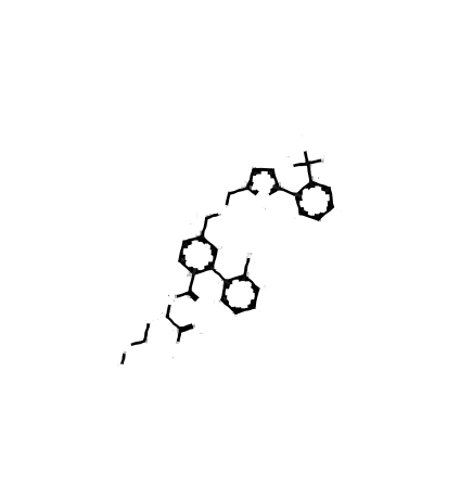 CSCC[C@H](NC(=O)c1ccc(COCc2ccc(-c3ccccc3C(F)(F)F)o2)cc1-c1ccccc1C)C(=O)[O-].[Li+]